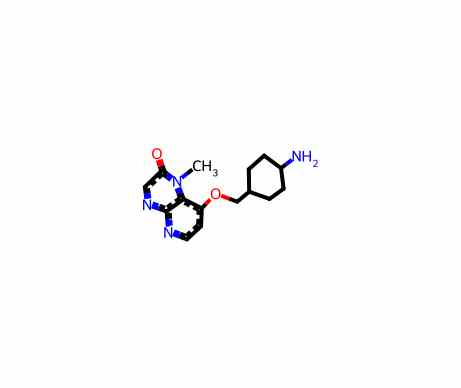 Cn1c(=O)cnc2nccc(OCC3CCC(N)CC3)c21